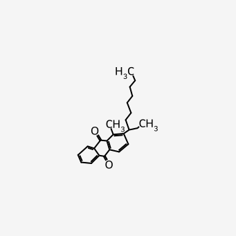 CCCCCCCC(CC)c1ccc2c(c1C)C(=O)c1ccccc1C2=O